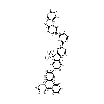 CC1(C)c2cc(-c3cccc(-c4ccc5sc6ccccc6c5c4)c3)ccc2-c2ccc(-c3cnc4c5ccccc5c5ccccc5c4n3)cc21